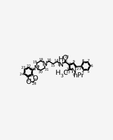 CCCn1c(-c2ccccc2)cc(C(=O)NCCCN2CCN(c3cccc4c3OCO4)CC2)c1C